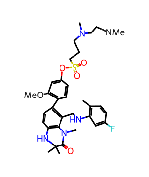 CNCCN(C)CCCS(=O)(=O)Oc1ccc(-c2ccc3c(c2CNc2cc(F)ccc2C)N(C)C(=O)C(C)(C)N3)c(OC)c1